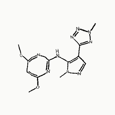 COc1cc(OC)nc(Nc2c(-c3nnn(C)n3)cnn2C)n1